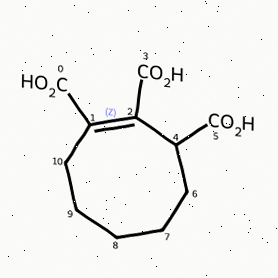 O=C(O)/C1=C(\C(=O)O)C(C(=O)O)CCCCC1